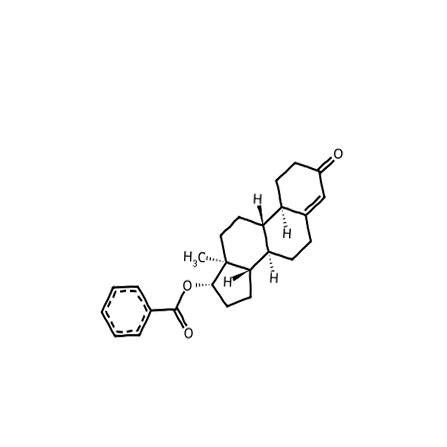 C[C@]12CC[C@H]3[C@@H](CCC4=CC(=O)CC[C@@H]43)[C@@H]1CC[C@@H]2OC(=O)c1ccccc1